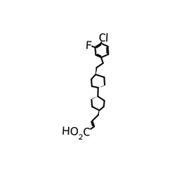 O=C(O)/C=C/C[C@H]1CC[C@H]([C@H]2CC[C@H](CCc3ccc(Cl)c(F)c3)CC2)CC1